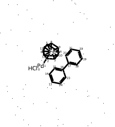 Cl.[Pd][C]12[CH]3[CH]4[CH]5[CH]1[Fe]45321678[CH]2[CH]1[CH]6[CH]7[CH]28.c1ccc(-c2ccccc2)cc1